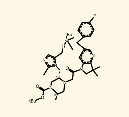 Cc1ncc(CO[Si](C)(C)C(C)(C)C)n1C[C@H]1CN(C(=O)OC(C)(C)C)[C@H](C)CN1CC(=O)N1CC(C)(C)c2ncc(Cc3ccc(F)cc3)cc21